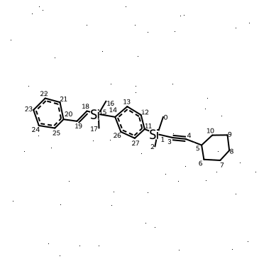 C[Si](C)(C#CC1CCCCC1)c1ccc([Si](C)(C)C=Cc2ccccc2)cc1